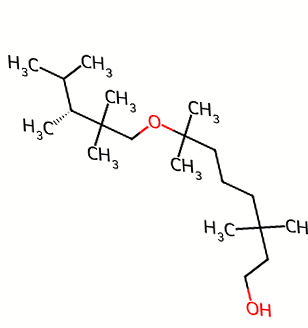 CC(C)[C@@H](C)C(C)(C)COC(C)(C)CCCC(C)(C)CCO